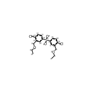 CCOCc1cc(S(=O)(=O)c2ccc(Cl)c(COCC)c2)ccc1Cl